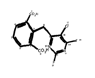 O=C(O)c1cccc(C(=O)O)c1Cc1nc(F)nc(F)c1Cl